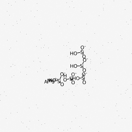 O=[Si]([O-])O.O=[Si]([O-])O.O=[Si]([O-])O.O=[Si]([O-])O.O=[Si]([O-])O.[Al+3].[Mg+2]